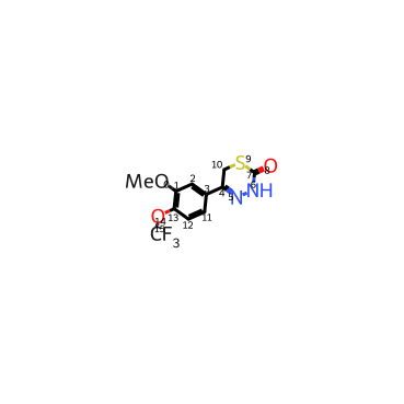 COc1cc(C2=NNC(=O)SC2)ccc1OC(F)(F)F